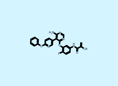 C=C(C#N)C(=O)Nc1ccc(F)c(Oc2ncnc(N)c2-c2ccc(Oc3ccccc3)nc2)c1